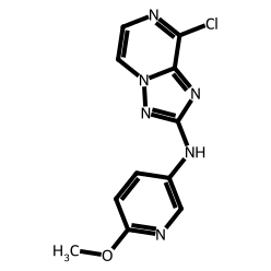 COc1ccc(Nc2nc3c(Cl)nccn3n2)cn1